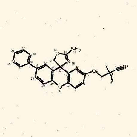 CC(C)(C#N)COc1ccc2c(c1)C1(COC(N)=N1)c1cc(-c3cccnc3)ccc1O2